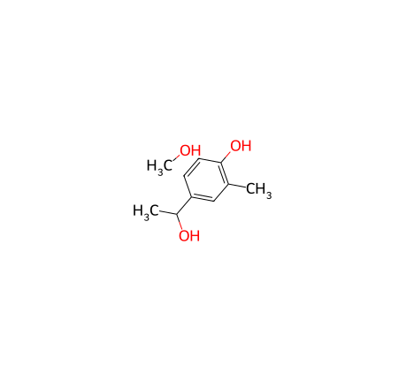 CO.Cc1cc(C(C)O)ccc1O